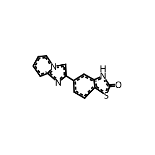 O=c1[nH]c2cc(-c3cn4ccccc4n3)ccc2s1